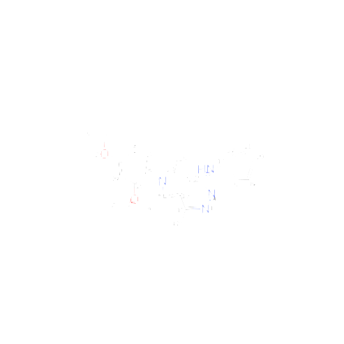 CCOc1ccc(-n2c(C)c3c(C)nnc(Nc4ccccc4)c3c2C)c(OC)c1